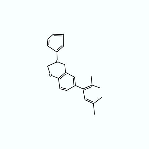 CC(C)=CC(=C(C)C)c1ccc2c(c1)CN(c1ccccc1)CO2